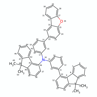 CC1(C)c2ccccc2-c2c(-c3cccc(N(c4cccc(-c5ccc6oc7ccccc7c6c5)c4)c4cccc5c4-c4ccccc4C5(C)C)c3)cccc21